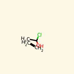 C=C.CC(O)Cl